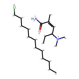 CCC(C=C(C)C(N)=O)N(C)C.CCCCCCCCCCCCCl